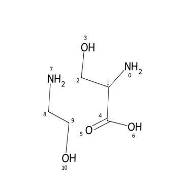 NC(CO)C(=O)O.NCCO